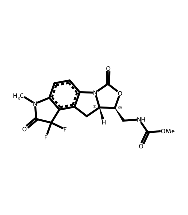 COC(=O)NC[C@@H]1OC(=O)N2c3ccc4c(c3C[C@@H]12)C(F)(F)C(=O)N4C